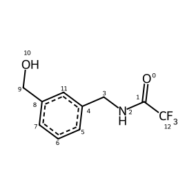 O=C(NCc1cccc(CO)c1)C(F)(F)F